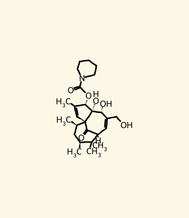 CC1=C[C@]23C(=O)[C@@H](C=C(CO)[C@@H](O)[C@]2(O)[C@H]1OC(=O)N1CCCCC1)C(C)(C)[C@@H](C)C[C@H]3C